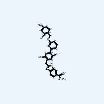 COC(=O)c1ccc2nc(Cc3cc(F)c(-c4cccc(OCc5ccc(C#N)cc5F)n4)cc3F)[nH]c2c1